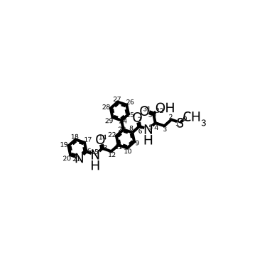 CSCCC(NC(=O)c1ccc(CC(=O)Nc2ccccn2)cc1-c1ccccc1)C(=O)O